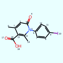 Cc1cc(=O)n(-c2ccc(I)cc2)c(C)c1C(=O)O